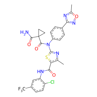 Cc1nc(-c2ccc(N(C(=O)C3(C(N)=O)CC3)c3nc(C)c(C(=O)Nc4cc(C(F)(F)F)ccc4Cl)s3)cc2)no1